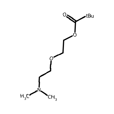 CN(C)CCOCCOC(=O)C(C)(C)C